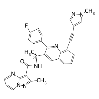 Cc1nn2cccnc2c1C(=O)N[C@@H](C)c1cc2cccc(C#Cc3cnn(C)c3)c2nc1-c1ccc(F)cc1